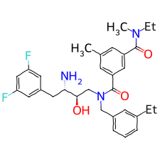 CCc1cccc(CN(C[C@@H](O)[C@@H](N)Cc2cc(F)cc(F)c2)C(=O)c2cc(C)cc(C(=O)N(C)CC)c2)c1